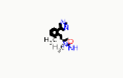 Cc1cccc(-c2cncnc2)c1CC[C@H]1COC(=N)N1C